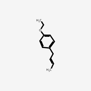 CC=CCc1ccc(OCC)cc1